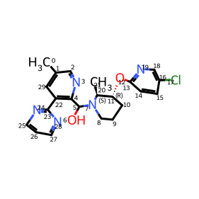 Cc1cnc(C(O)N2CCC[C@@H](Oc3ccc(Cl)cn3)[C@@H]2C)c(-c2ncccn2)c1